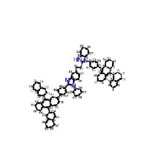 C1=CC2C(C3=c4ccccc4=CCC3)=c3ccccc3=C(c3ccc(N4c5ccccc5NC4CCc4ccc5c(c4)nc(-c4ccc(-c6ccc7c(-c8ccc9ccccc9c8)c8ccccc8c(-c8ccc9ccccc9c8)c7c6)cc4)n5-c4ccccc4)cc3)C2C=C1